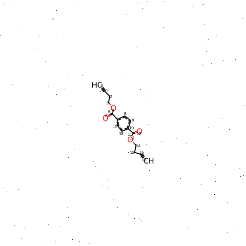 C#CCCOC(=O)c1ccc(C(=O)OCCC#C)cc1